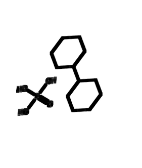 C1CCC(C2CCCCC2)CC1.O=P(O)(O)O